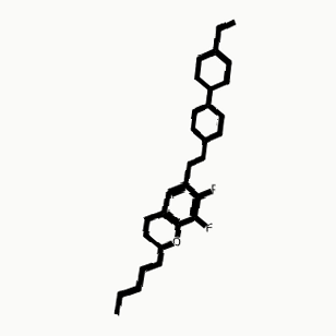 CCCCCC1CCc2cc(CCC3CCC(C4CCC(CC)CC4)CC3)c(F)c(F)c2O1